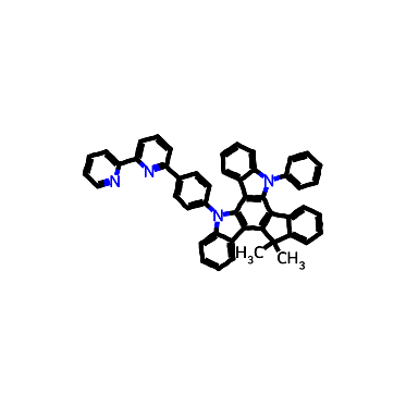 CC1(C)c2ccccc2-c2c1c1c3ccccc3n(-c3ccc(-c4cccc(-c5ccccn5)n4)cc3)c1c1c3ccccc3n(-c3ccccc3)c21